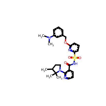 CC1CCN(c2ncccc2C(=O)NS(=O)(=O)c2cccc(OCc3cccc(N(C)C)c3)n2)C1(C)C